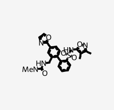 CNC(=O)NCc1cc(-c2ncco2)ccc1-c1ccccc1S(=O)(=O)Nc1onc(C)c1C